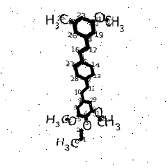 CCCOC1C(OC)CC(CCC2CCC(CCC3CC(OC)C[C@H](C)C3)CC2)CC1OC